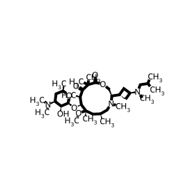 CO[C@]1(C)C[C@@H](C)CN(C)[C@H]([C@H]2C[C@H](N(C)CC(C)C)C2)COC(=O)C(C)(C)C(=O)[C@H](C)[C@H]1O[C@@H]1O[C@H](C)C[C@H](N(C)C)[C@H]1O